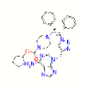 Nc1ncn(Cc2cn([C@@H](c3ccccc3)[C@@H](c3ccccc3)N3CCN(C(=O)OC4CCCC4)CC3)nn2)c2ncnc1-2